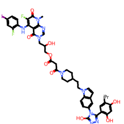 CC(C)c1cc(-c2nnc(O)n2-c2ccc3c(ccn3CCC3CCN(C(=O)CC(=O)OCC(O)Cn4cnc5c(c(Nc6ccc(I)cc6F)c(F)c(=O)n5C)c4=O)CC3)c2)c(O)cc1O